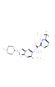 COc1cc2nn([C@H]3CC[C@H](C(C)C)CC3)cc2cc1NC(=O)c1cccc(C(C)(C)F)n1